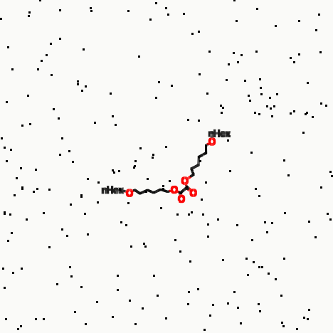 CCCCCCOCCCCCCOC(=O)C(=O)OCCCCCCOCCCCCC